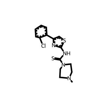 CN1CCN(C(=S)Nc2nc(-c3ccccc3Cl)cs2)CC1